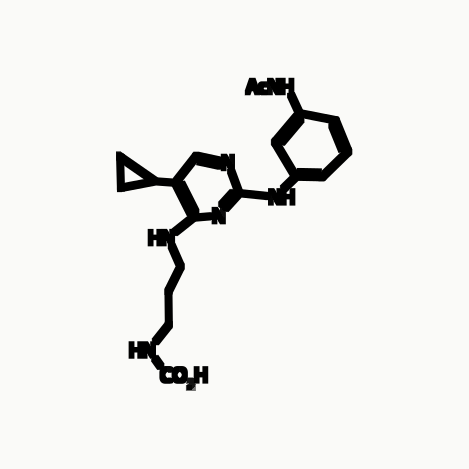 CC(=O)Nc1cccc(Nc2ncc(C3CC3)c(NCCCNC(=O)O)n2)c1